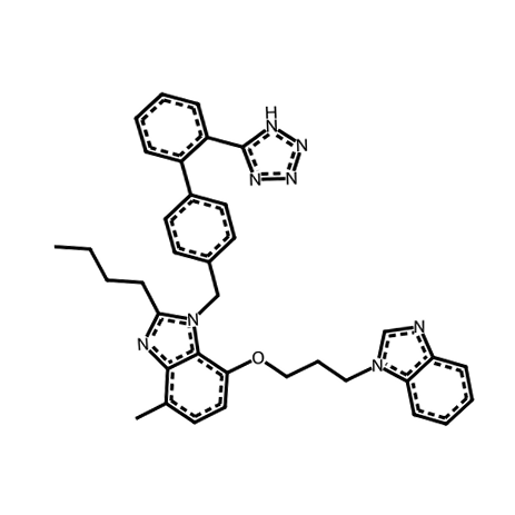 CCCCc1nc2c(C)ccc(OCCCn3cnc4ccccc43)c2n1Cc1ccc(-c2ccccc2-c2nnn[nH]2)cc1